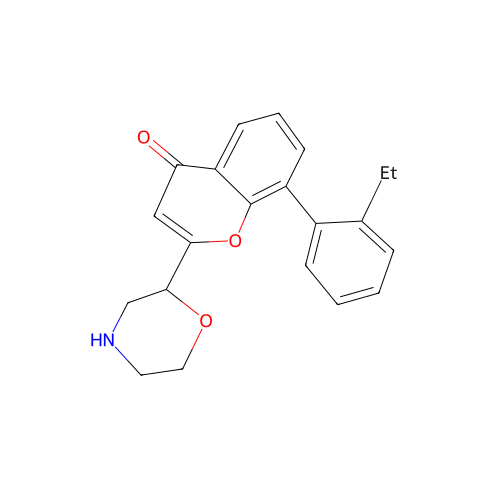 CCc1ccccc1-c1cccc2c(=O)cc(C3CNCCO3)oc12